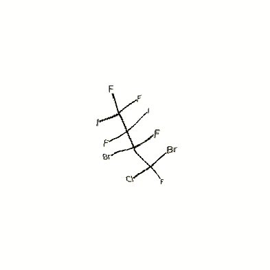 FC(Cl)(Br)C(F)(Br)C(F)(I)C(F)(F)I